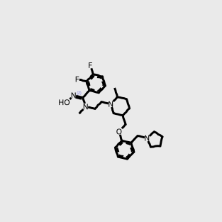 CC1CCC(COc2ccccc2CN2CCCC2)CN1CCN(C)/C(=N\O)c1cccc(F)c1F